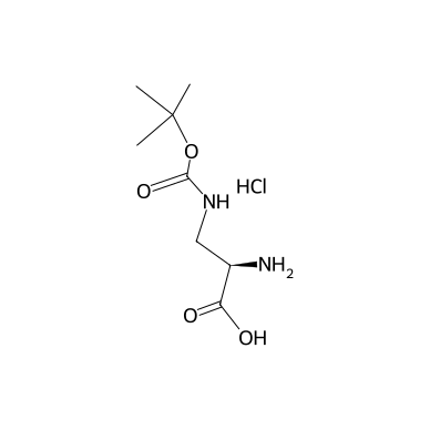 CC(C)(C)OC(=O)NC[C@@H](N)C(=O)O.Cl